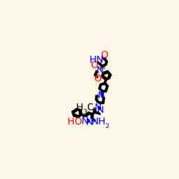 Cc1c(-c2cc(-c3ccccc3O)nnc2N)cnn1C1CCN(C2CCC(c3cccc4c3OCCN4[C@H]3CCC(=O)NC3=O)CC2)CC1